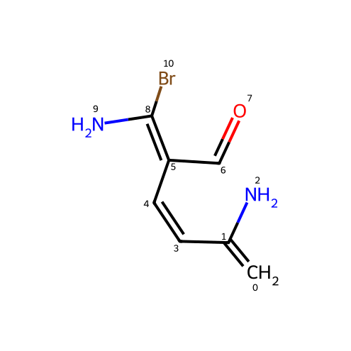 C=C(N)/C=C\C(C=O)=C(/N)Br